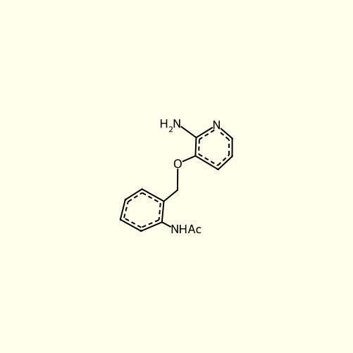 CC(=O)Nc1ccccc1COc1cccnc1N